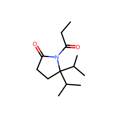 CCC(=O)N1C(=O)CCC1(C(C)C)C(C)C